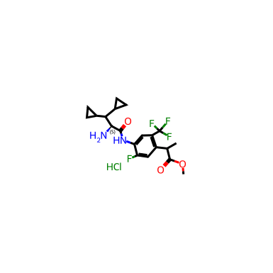 COC(=O)C(C)c1cc(F)c(NC(=O)[C@@H](N)C(C2CC2)C2CC2)cc1C(F)(F)F.Cl